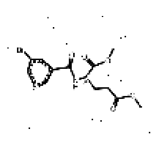 COC(=O)CC[C@@H](NC(=O)c1cncc(Br)c1)C(=O)OC